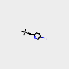 C[Si](C)(C)C#Cc1ccc(N)cn1